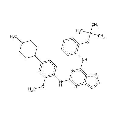 COc1cc(N2CCN(C)CC2)ccc1Nc1nc(Nc2ccccc2SC(C)(C)C)c2sccc2n1